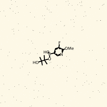 COc1ncc(B(O)OC(C)(C)C(C)(C)O)cc1F